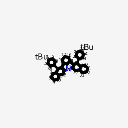 CC(C)(C)c1ccc(-c2c3ccccc3cc3c2c2cccc4c5c(-c6ccc(C(C)(C)C)cc6)c6ccccc6cc5n3c24)cc1